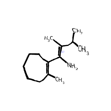 CC1=C(/C(N)=C(\C)C(C)C)CCCCC1